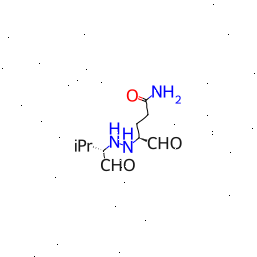 CC(C)[C@@H](C=O)NN[C@H](C=O)CCC(N)=O